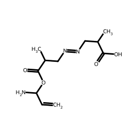 C=CC(N)OC(=O)C(C)CN=NCC(C)C(=O)O